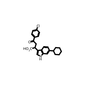 O=C(CC(C(=O)O)c1c[nH]c2cc(C3CCCCC3)ccc12)c1ccc(Cl)cc1